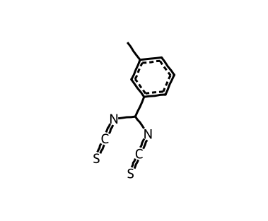 Cc1cccc(C(N=C=S)N=C=S)c1